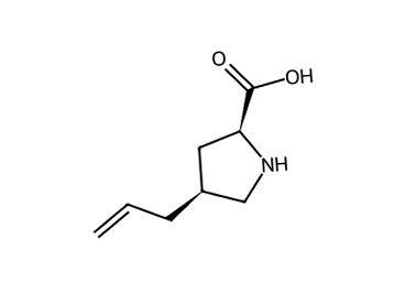 C=CC[C@@H]1CN[C@H](C(=O)O)C1